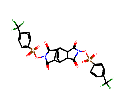 O=C1C2C3C=CC(C2C(=O)N1OS(=O)(=O)c1ccc(C(F)(F)F)cc1)C1C(=O)N(OS(=O)(=O)c2ccc(C(F)(F)F)cc2)C(=O)C31